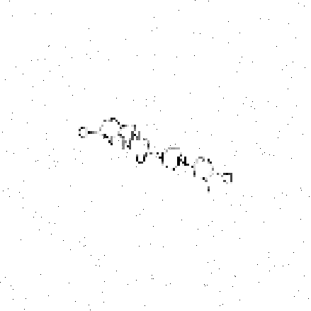 Cc1cc(N2CCN(C(=O)Cn3cc4ccc(Cl)nc4n3)CC2)ccc1Cl